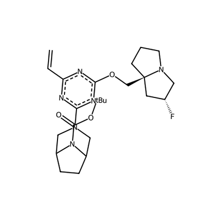 C=Cc1nc(OC[C@@]23CCCN2C[C@H](F)C3)nc(N2CC3CCC(C2)N3C(=O)OC(C)(C)C)n1